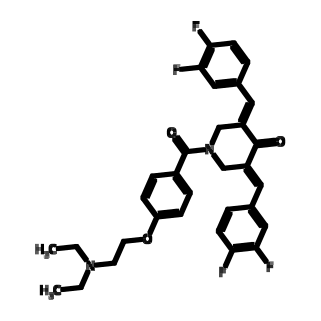 CCN(CC)CCOc1ccc(C(=O)N2C/C(=C\c3ccc(F)c(F)c3)C(=O)/C(=C/c3ccc(F)c(F)c3)C2)cc1